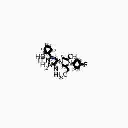 CCC1CN(C(/C=C(\N)c2ccccc2O)=C(N)N)CC(C)N1c1ccc(F)cc1